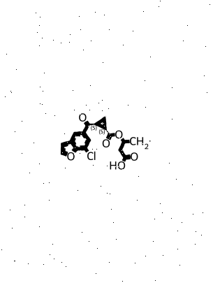 [CH2]C(CC(=O)O)OC(=O)[C@H]1C[C@@H]1C(=O)c1cc(Cl)c2occc2c1